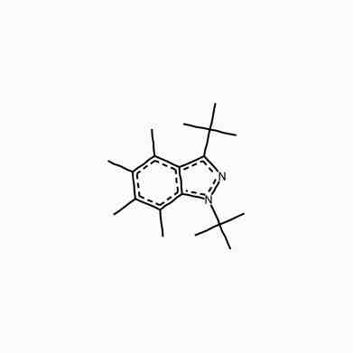 Cc1c(C)c(C)c2c(c(C(C)(C)C)nn2C(C)(C)C)c1C